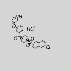 Cl.O=C(c1cccc(O[C@@H]2CCNC2)c1)N1CCN(S(=O)(=O)c2ccc3cc(Cl)ccc3c2)CC1